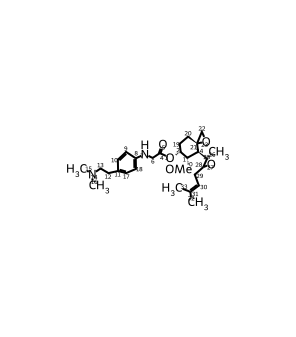 CO[C@@H]1[C@H](OC(=O)CNc2ccc(CCN(C)C)cc2)CC[C@]2(CO2)[C@H]1[C@@]1(C)OC1CC=C(C)C